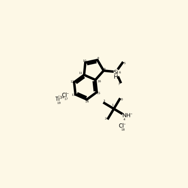 CC(C)(C)[NH-].C[SiH](C)C1C=Cc2ccccc21.[Cl-].[Cl-].[Ti+3]